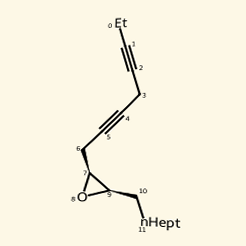 CCC#CCC#CC[C@@H]1O[C@@H]1CCCCCCCC